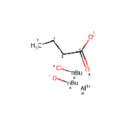 CCCC(=O)[O-].CCCC[O-].CCCC[O-].[Al+3]